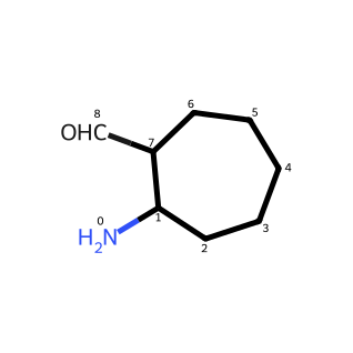 NC1CCCCCC1C=O